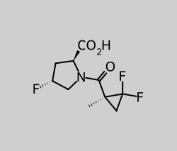 C[C@@]1(C(=O)N2C[C@H](F)C[C@H]2C(=O)O)CC1(F)F